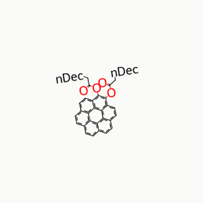 CCCCCCCCCCCC(=O)Oc1c(OC(=O)CCCCCCCCCCC)c2ccc3ccc4ccc5ccc6ccc1c1c6c5c4c3c21